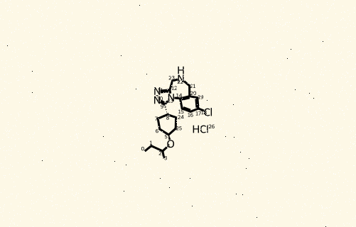 CCC(C)O[C@H]1CC[C@H](c2nnc3n2-c2ccc(Cl)cc2CNC3)CC1.Cl